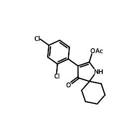 CC(=O)OC1=C(c2ccc(Cl)cc2Cl)C(=O)C2(CCCCC2)N1